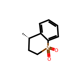 C[C@H]1CCS(=O)(=O)c2ccccc21